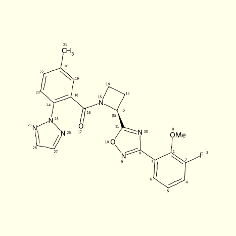 COc1c(F)cccc1-c1noc([C@@H]2CCN2C(=O)c2cc(C)ccc2-n2nccn2)n1